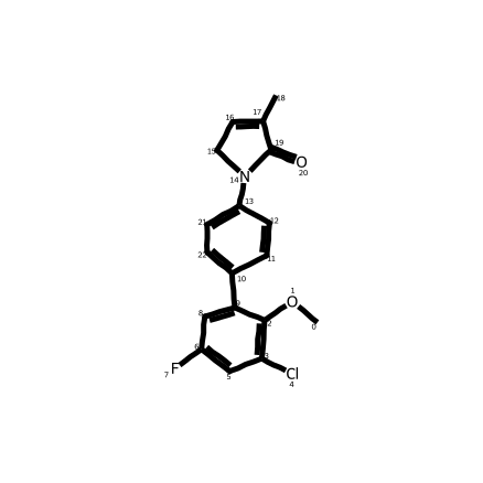 COc1c(Cl)cc(F)cc1-c1ccc(N2CC=C(C)C2=O)cc1